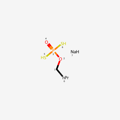 CCCCOP(=O)(S)S.[NaH]